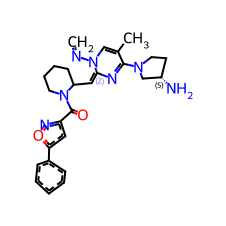 C=NN1C=C(C)C(N2CC[C@H](N)C2)=N/C1=C/C1CCCCN1C(=O)c1cc(-c2ccccc2)on1